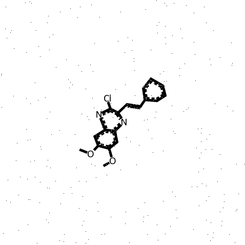 COc1cc2nc(Cl)c(C=Cc3ccccc3)nc2cc1OC